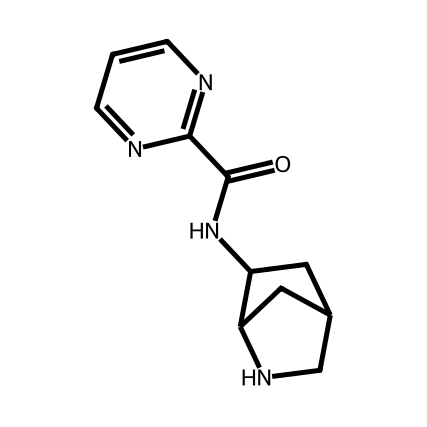 O=C(NC1CC2CNC1C2)c1ncccn1